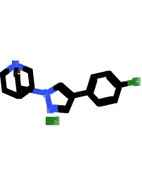 Cl.Clc1ccc(-c2cnn(C3CN4CCC3CC4)c2)cc1